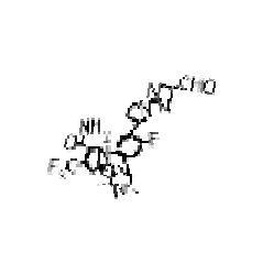 C[C@@H]1CN(c2cc(F)c(C3=CCN(c4ncc(C=O)cn4)C3)cc2-n2cc(C(N)=O)c(C(F)(F)F)cc2=O)C[C@H](C)N1C